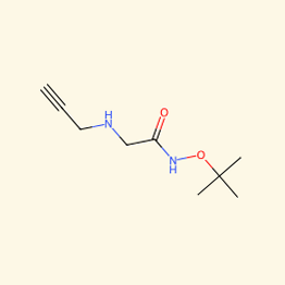 C#CCNCC(=O)NOC(C)(C)C